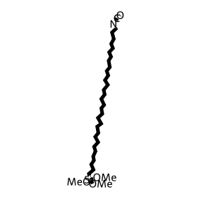 CO[Si](CCCCCCCCCCCCCCCCCCCCCCCCCCCCCCCCN=C=O)(OC)OC